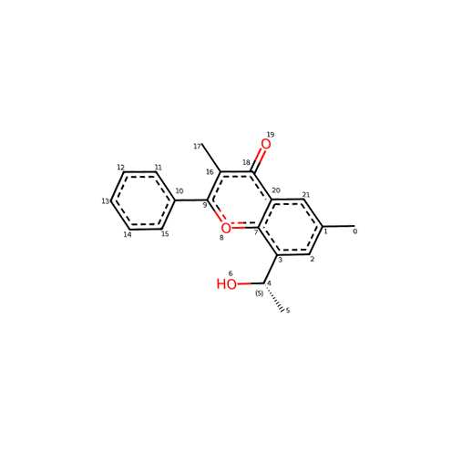 Cc1cc([C@H](C)O)c2oc(-c3ccccc3)c(C)c(=O)c2c1